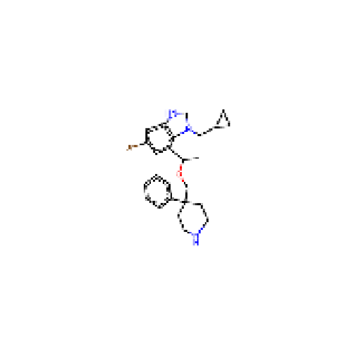 CC(OCC1(c2ccccc2)CCNCC1)c1cc(Br)cc2c1N(CC1CC1)CN2